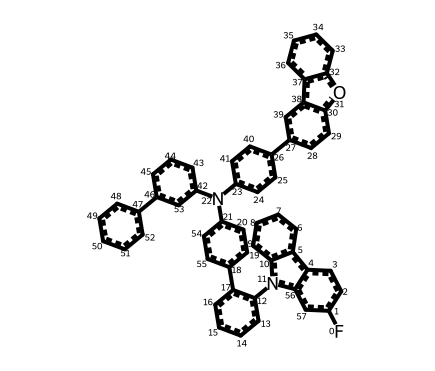 Fc1ccc2c3ccccc3n(-c3ccccc3-c3ccc(N(c4ccc(-c5ccc6oc7ccccc7c6c5)cc4)c4cccc(-c5ccccc5)c4)cc3)c2c1